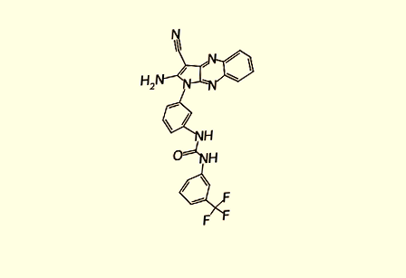 N#Cc1c(N)n(-c2cccc(NC(=O)Nc3cccc(C(F)(F)F)c3)c2)c2nc3ccccc3nc12